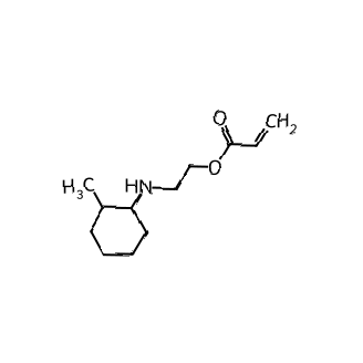 C=CC(=O)OCCNC1CCCCC1C